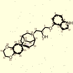 OC(COc1cccc2[nH]ccc12)CN1CC2C/C=C\CC1CN2c1ccc2c(c1)OCCO2